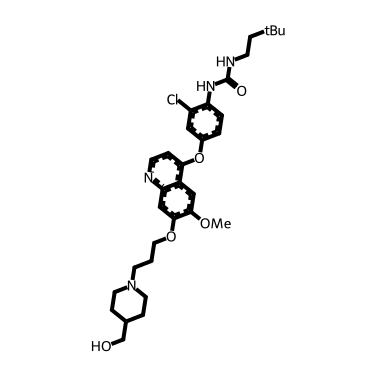 COc1cc2c(Oc3ccc(NC(=O)NCCC(C)(C)C)c(Cl)c3)ccnc2cc1OCCCN1CCC(CO)CC1